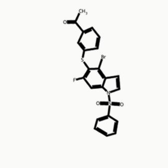 CC(=O)c1cccc(Sc2c(F)cc3c(ccn3S(=O)(=O)c3ccccc3)c2Br)c1